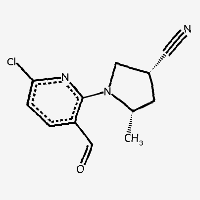 C[C@H]1C[C@@H](C#N)CN1c1nc(Cl)ccc1C=O